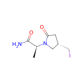 C[C@@H](C(N)=O)N1C[C@@H](CI)CC1=O